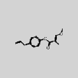 C=CCc1ccc(OC(=O)C(C)=COC)cc1